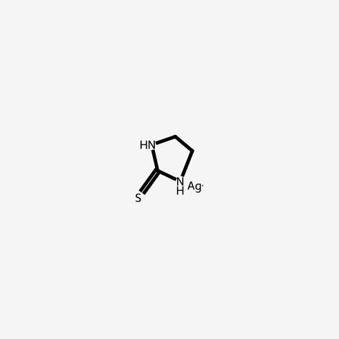 S=C1NCCN1.[Ag]